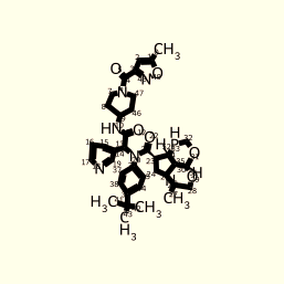 Cc1cc(C(=O)N2CCC(NC(=O)C(c3cccnc3)N(C(=O)[C@@H]3C[C@@H]4C(C)CO[C@@H]5OCP[C@H]3C54)c3ccc(C(C)(C)C)cc3)CC2)no1